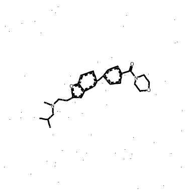 CC(C)CN(C)CCc1cc2cc(-c3ccc(C(=O)N4CCOCC4)cc3)ccc2o1